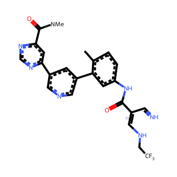 CNC(=O)c1cc(-c2cncc(-c3cc(NC(=O)/C(C=N)=C/NCC(F)(F)F)ccc3C)c2)ncn1